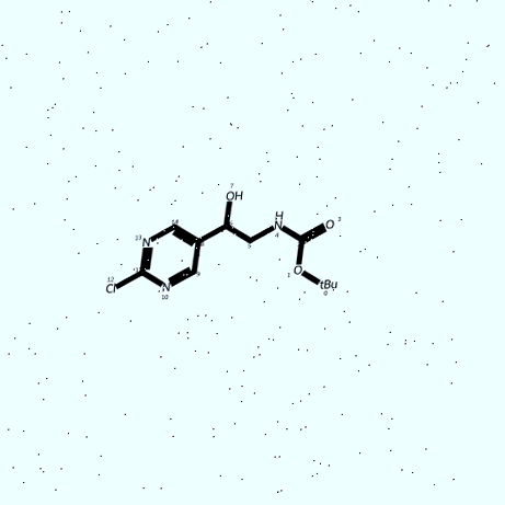 CC(C)(C)OC(=O)NCC(O)c1cnc(Cl)nc1